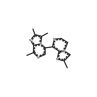 Cc1cn2ccnc(-c3cnc(C)c4nc(C)c(C)n34)c2n1